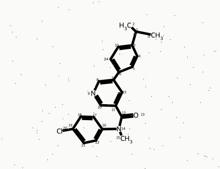 CC(C)c1ccc(-c2cncc(C(=O)N(C)c3ccc(Cl)cc3)c2)cc1